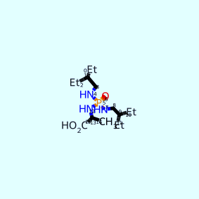 CCC(CC)CNP(=O)(NCC(CC)CC)NC(C)C(=O)O